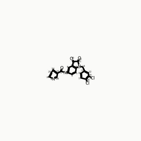 O=C(Nc1ccc2c(c1)C(=O)C(=O)N2Cc1ccc(Cl)c(Cl)c1)c1cccnc1